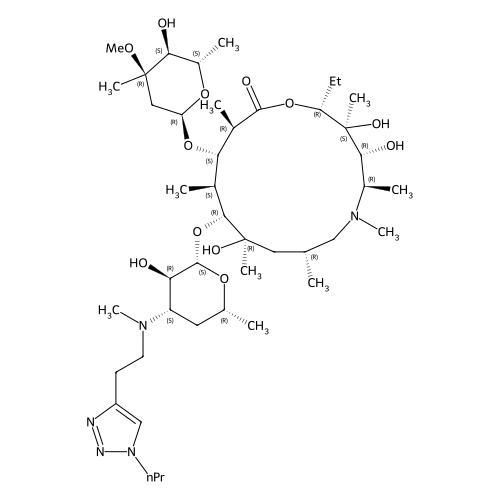 CCCn1cc(CCN(C)[C@H]2C[C@@H](C)O[C@@H](O[C@@H]3[C@@H](C)[C@H](O[C@H]4C[C@@](C)(OC)[C@@H](O)[C@H](C)O4)[C@@H](C)C(=O)O[C@H](CC)[C@@](C)(O)[C@H](O)[C@@H](C)N(C)C[C@H](C)C[C@@]3(C)O)[C@@H]2O)nn1